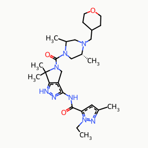 CCn1nc(C)cc1C(=O)Nc1n[nH]c2c1CN(C(=O)N1C[C@@H](C)N(CC3CCOCC3)CC1C)C2(C)C